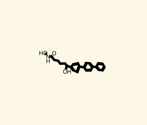 O=C(CCCCC(O)c1ccc(-c2ccc(-c3ccccc3)cc2)cc1)NO